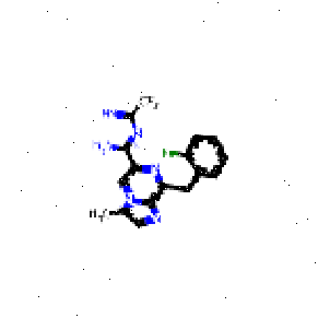 Cc1cnc2c(Cc3ccccc3F)nc(/C(N)=N/C(=N)C(F)(F)F)cn12